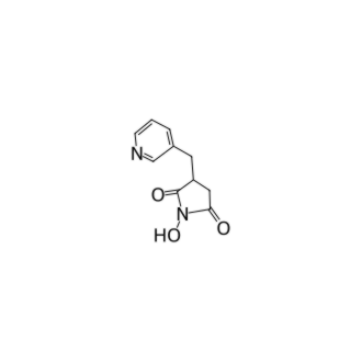 O=C1CC(Cc2cccnc2)C(=O)N1O